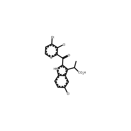 CCc1ccnc(C(=O)c2[nH]c3ccc(Cl)cc3c2C(C)C(=O)O)c1Cl